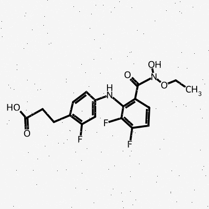 CCON(O)C(=O)c1ccc(F)c(F)c1Nc1ccc(CCC(=O)O)c(F)c1